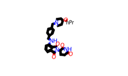 CCCOC1CCN(CC2=CCC(CNc3cccc4c3C(=O)N(C3CCC(=O)NC3=O)C4=O)C=C2)CC1